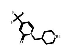 O=c1cc(C(F)(F)F)ccn1CC1CCNCC1